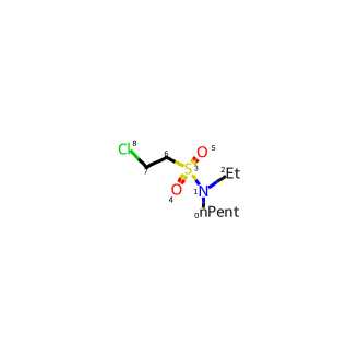 CCCCCN(CC)S(=O)(=O)CCCl